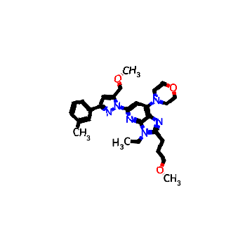 CCn1c(CCCOC)nc2c(N3CCOCC3)cc(-n3nc(-c4cccc(C)c4)cc3COC)nc21